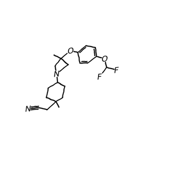 CC1(CC#N)CCC(N2CC(C)(Oc3ccc(OC(F)F)cc3)C2)CC1